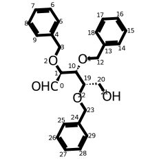 O=C[C@@H](OCc1ccccc1)[C@H](OCc1ccccc1)[C@H](CO)OCc1ccccc1